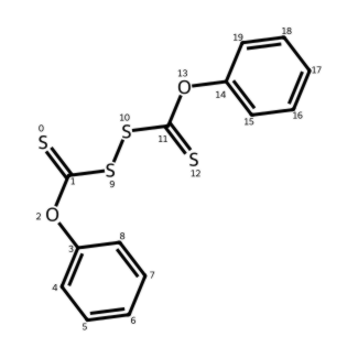 S=C(Oc1ccccc1)SSC(=S)Oc1ccccc1